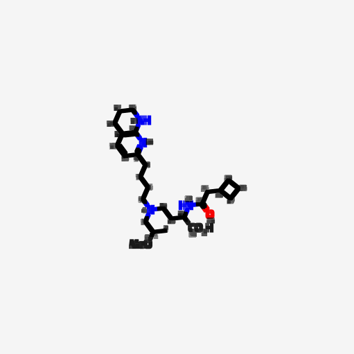 COC(C)CN(CCCCc1ccc2c(n1)NCCC2)CCC(NC(=O)CC1CCC1)C(=O)O